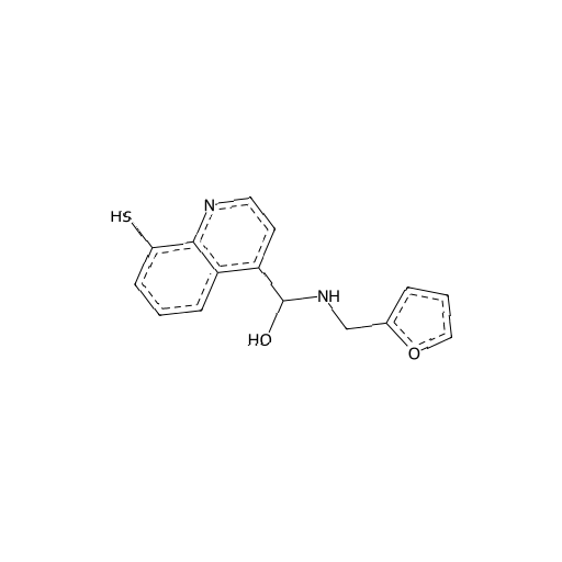 OC(NCc1ccco1)c1ccnc2c(S)cccc12